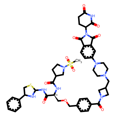 CS(=O)(=O)N1CCC(C(=O)N[C@@H](COCc2ccc(C(=O)N3CC(CN4CCN(c5ccc6c(c5)C(=O)N(C5CCC(=O)NC5=O)C6=O)CC4)C3)cc2)C(=O)NC2NC(c3ccccc3)CS2)C1